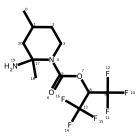 CC1CCN(C(=O)OC(C(F)(F)F)C(F)(F)F)C(C)(N)C1